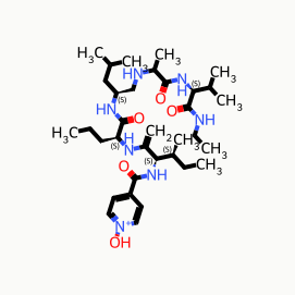 C=C(N[C@@H](CCC)C(=O)N[C@H](CNC(C)C(=O)N[C@H](C(=O)NCC)C(C)C)CC(C)C)[C@@H](NC(=O)c1cc[n+](O)cc1)[C@@H](C)CC